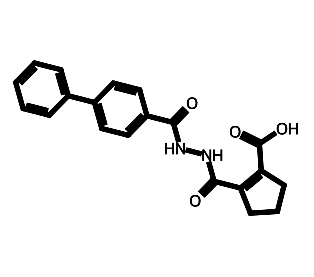 O=C(O)C1=C(C(=O)NNC(=O)c2ccc(-c3ccccc3)cc2)CCC1